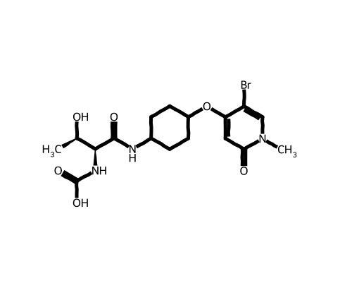 C[C@@H](O)[C@H](NC(=O)O)C(=O)NC1CCC(Oc2cc(=O)n(C)cc2Br)CC1